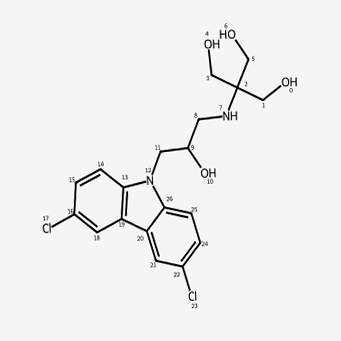 OCC(CO)(CO)NCC(O)Cn1c2ccc(Cl)cc2c2cc(Cl)ccc21